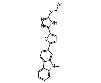 CC(=O)CSc1nnc(-c2ccc(-c3ccc4c5ccccc5n(C)c4c3)o2)[nH]1